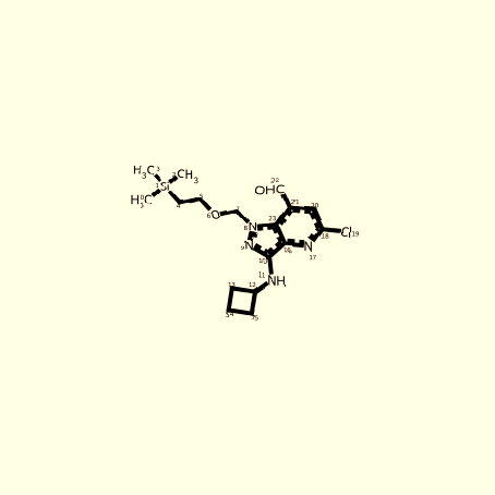 C[Si](C)(C)CCOCn1nc(NC2CCC2)c2nc(Cl)cc(C=O)c21